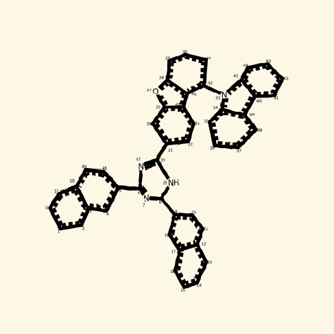 c1ccc2cc(C3=NC(c4ccc5ccccc5c4)NC(c4ccc5c(c4)oc4cccc(-n6c7ccccc7c7ccccc76)c45)=N3)ccc2c1